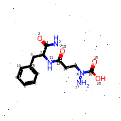 NC(=O)C(Cc1ccccc1)NC(=O)CCN(N)C(=O)O